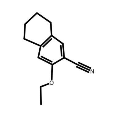 CCOc1cc2c(cc1C#N)CCCC2